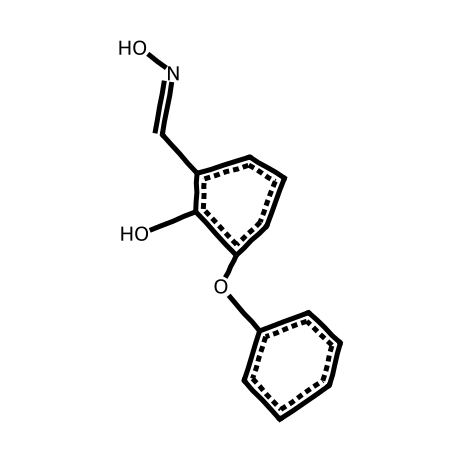 ON=Cc1cccc(Oc2ccccc2)c1O